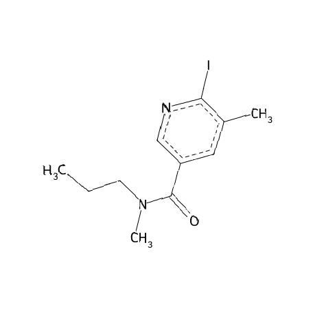 CCCN(C)C(=O)c1cnc(I)c(C)c1